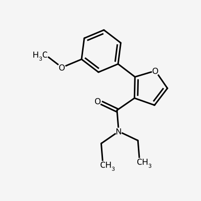 CCN(CC)C(=O)c1ccoc1-c1cccc(OC)c1